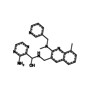 Cc1cccc2cc(CNC(O)c3nccnc3N)c(N(C)Cc3cccnc3)nc12